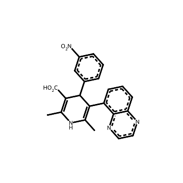 CC1=C(C(=O)O)C(c2cccc([N+](=O)[O-])c2)C(c2cccc3nccnc23)=C(C)N1